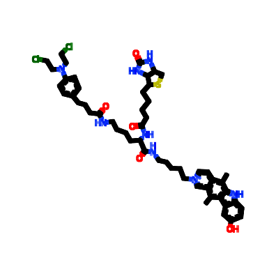 Cc1c2cc[n+](CCCCCNC(=O)C(CCCCNC(=O)CCCc3ccc(N(CCCl)CCCl)cc3)NC(=O)CCCCC3SCC4NC(=O)NC43)cc2c(C)c2c1[nH]c1ccc(O)cc12